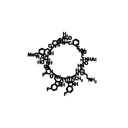 COc1ccc(C[C@@H]2NC(=O)[C@H]([C@@H](C)O)NC(=O)[C@@H]3C[C@H](F)CN3C(=O)[C@H](Cc3c[nH]c4ccc(F)cc34)NC(=O)[C@H](Cc3c[nH]c4ccc(F)cc34)NC(=O)[C@@H](C)NC(=O)[C@H](CCCCN)NC(=O)[C@@H](NC(C)=O)CC(=O)NCc3ccccc3C[C@@H](C(N)=O)NC(=O)[C@]3(C)CCCN3C2=O)cc1